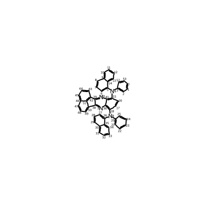 c1ccc(N(c2cccc3ccccc23)c2ccc(N(c3ccccc3)c3cccc4ccccc34)c3nc4c(nc23)-c2cccc3cccc-4c23)cc1